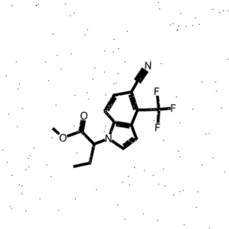 CCC(C(=O)OC)n1ccc2c(C(F)(F)F)c(C#N)ccc21